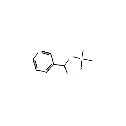 CC(C)(C)[Si](C)(C)OC(C(=O)O)c1cccnc1